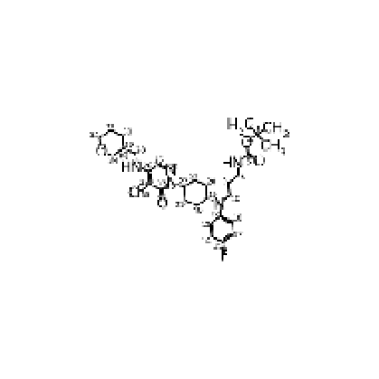 CC(C)(C)OC(=O)NCCCN(c1ccc(F)cc1)[C@H]1CC[C@H](n2ncc(NC[C@@H]3CCCOC3)c(Cl)c2=O)CC1